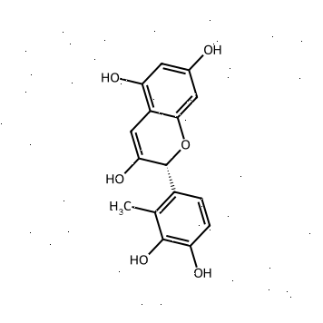 Cc1c([C@H]2Oc3cc(O)cc(O)c3C=C2O)ccc(O)c1O